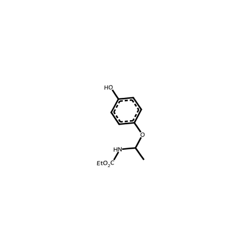 CCOC(=O)NC(C)Oc1ccc(O)cc1